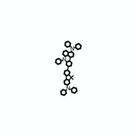 CC1(C)c2cc(-c3ccc4c(c3)N(c3ccccc3)c3cccc5c(N(c6ccccc6)c6ccccc6)ccc-4c35)ccc2-c2ccc(N(c3ccccc3)c3ccccc3)cc21